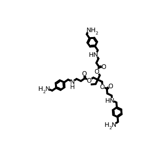 CCC(COC(=O)CCNCc1ccc(CN)cc1)(COC(=O)CCNCc1ccc(CN)cc1)COC(=O)CCNCc1ccc(CN)cc1